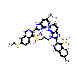 CCS(=O)(=O)c1c(-c2nc3cc(C(F)(F)F)cnc3n2CCCS(=O)(=O)c2c(-c3nc4cc(C(F)(F)F)cnc4n3C)ncc3cc(SCC(F)(F)F)ccc23)ncc2cc(C#N)ccc12